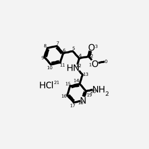 COC(=O)C(Cc1ccccc1)NCc1cccnc1N.Cl